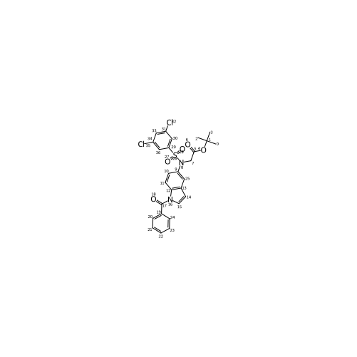 CC(C)(C)OC(=O)CN(c1ccc2c(ccn2C(=O)c2ccccc2)c1)S(=O)(=O)c1cc(Cl)cc(Cl)c1